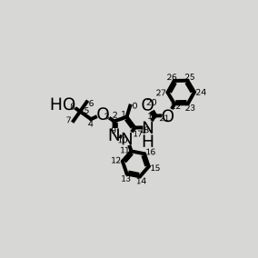 Cc1c(OCC(C)(C)O)nn(-c2ccccc2)c1NC(=O)Oc1ccccc1